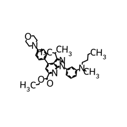 CCCCN(C)c1cccc(-n2nc(C(C)C)c3c(-c4ccc(N5CCOCC5)cc4)cc(C(=O)OCC)nc32)c1